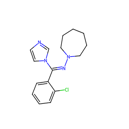 Clc1ccccc1C(=NN1CCCCCC1)n1ccnc1